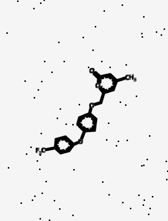 Cc1cc(COc2ccc(Oc3ccc(C(F)(F)F)cc3)cc2)oc(=O)c1